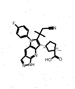 CC(C)(CC#N)c1c([C@@H]2CC[C@@](C)(C(=O)O)C2)c2nc3[nH]ncc3cc2n1-c1ccc(F)cc1